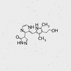 Cc1[nH]c(C=C2NC=CN=C2C2C=NNC2=O)c(C)c1CCO